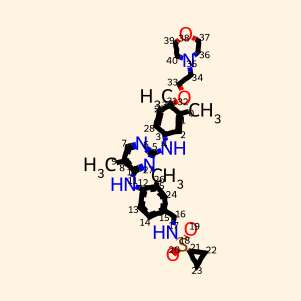 CC1=CC(Nc2ncc(C)c(Nc3ccc(CNS(=O)(=O)C4CC4)cc3C)n2)C=CC1(C)OCCN1CCOCC1